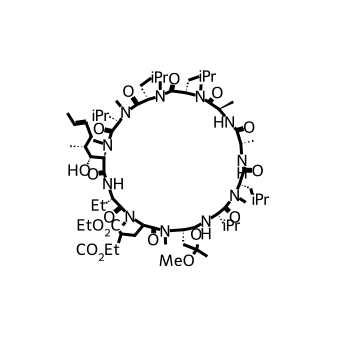 C/C=C/C[C@@H](C)[C@@H](O)[C@H]1C(=O)N[C@@H](CC)C(=O)N(C)C(CC(C(=O)OCC)C(=O)OCC)C(=O)N(C)[C@@H](CC(C)(C)OC)C(=O)N[C@@H](C(C)C)C(=O)N(C)[C@@H](CC(C)C)C(=O)N[C@@H](C)C(=O)N[C@H](C)C(=O)N(C)[C@@H](CC(C)C)C(=O)N(C)[C@@H](CC(C)C)C(=O)N(C)[C@@H](C(C)C)C(=O)N1C